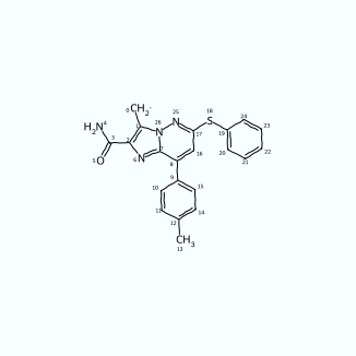 [CH2]c1c(C(N)=O)nc2c(-c3ccc(C)cc3)cc(Sc3ccccc3)nn12